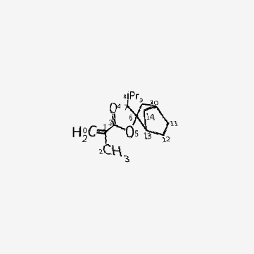 C=C(C)C(=O)OC1(CC(C)C)CC2CCC1C2